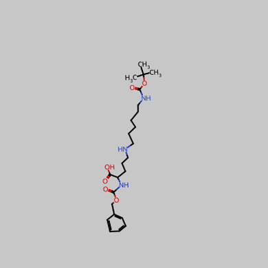 CC(C)(C)OC(=O)NCCCCCCNCCCC(NC(=O)OCc1ccccc1)C(=O)O